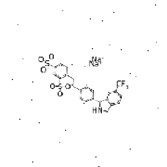 O=S(=O)([O-])c1ccc(C=Cc2ccc(C3NCc4ccc(C(F)(F)F)cc43)cc2)c(S(=O)(=O)[O-])c1.[Na+].[Na+]